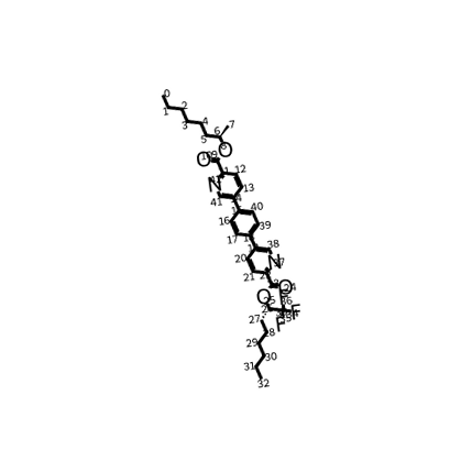 CCCCCC[C@@H](C)OC(=O)c1ccc(-c2ccc(-c3ccc(C(=O)O[C@@H](CCCCCC)C(F)(F)F)nc3)cc2)cn1